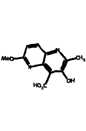 COc1ccc2nc(C)c(O)c(C(=O)O)c2n1